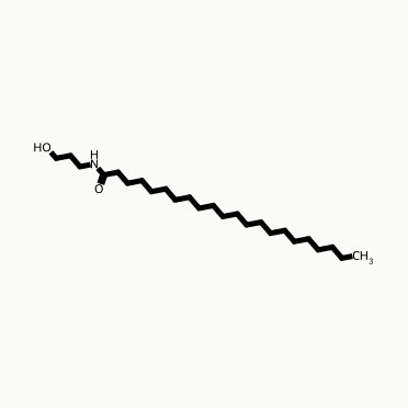 CCCCCCCCCCCCCCCCCCCCCC(=O)NCCCO